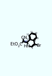 CCOC(=O)/C(C#N)=C1\NC=C(Br)c2ccccc21